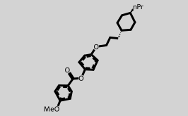 CCC[C@H]1CC[C@H](CCCOc2ccc(OC(=O)c3ccc(OC)cc3)cc2)CC1